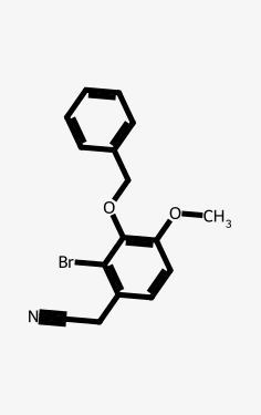 COc1ccc(CC#N)c(Br)c1OCc1ccccc1